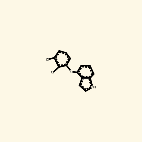 Clc1cccc(Oc2cccc3[nH]ccc23)c1Cl